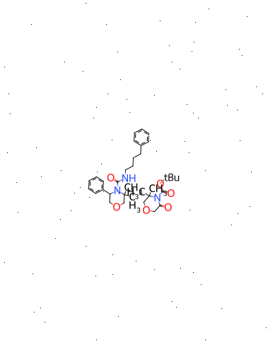 CC(C)(C)OC(=O)N1C(=O)COCC1(C)C.CC1(C)COCC(c2ccccc2)N1C(=O)NCCCCc1ccccc1